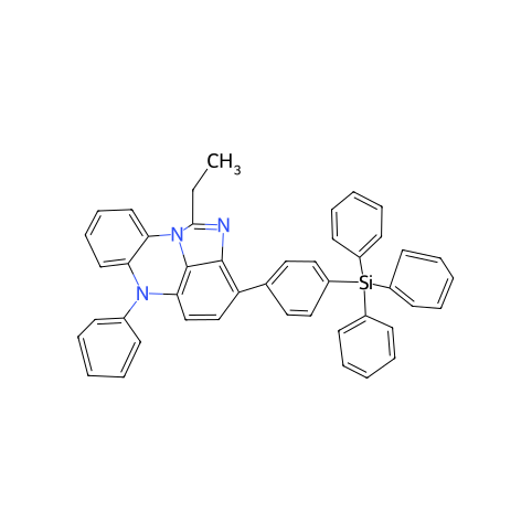 CCc1nc2c(-c3ccc([Si](c4ccccc4)(c4ccccc4)c4ccccc4)cc3)ccc3c2n1-c1ccccc1N3c1ccccc1